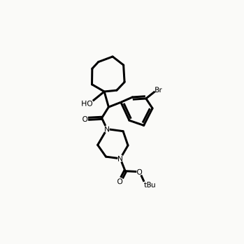 CC(C)(C)OC(=O)N1CCN(C(=O)C(c2cccc(Br)c2)C2(O)CCCCCCC2)CC1